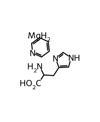 NC(Cc1c[nH]cn1)C(=O)O.[MgH2].c1ccncc1